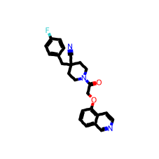 N#CC1(Cc2ccc(F)cc2)CCN(C(=O)COc2cccc3cnccc23)CC1